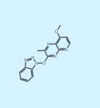 COc1ccnc2nc(On3nnc4ccccc43)c(C)nc12